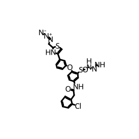 [N-]=[N+]=NCC1NC(c2cccc(Oc3ccc(NC(=O)Cc4ccccc4Cl)cc3SONN=N)c2)=CS1